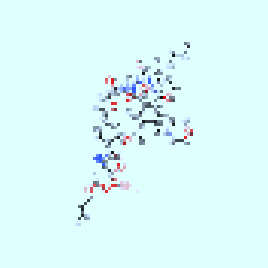 BOC(=O)[C@H](CC(=O)OCCCC)NC(=O)c1ccc(-c2ccc(C(=O)NCNC(=O)[C@H](CCCCC)[C@@H](CC)N(C=O)OC(=O)c3ccc(CN4CCOCC4)cc3C)o2)cc1OCC